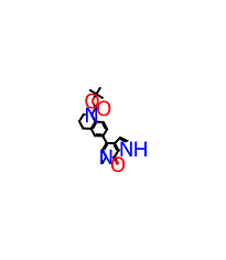 Cn1cc(-c2ccc3c(c2)CCCN3C(=O)OC(C)(C)C)c2cc[nH]c2c1=O